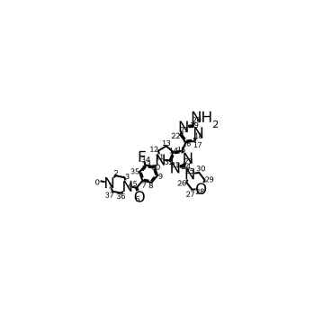 CN1CCN(C(=O)c2ccc(N3CCc4c(-c5cnc(N)nc5)nc(N5CCOCC5)nc43)c(F)c2)CC1